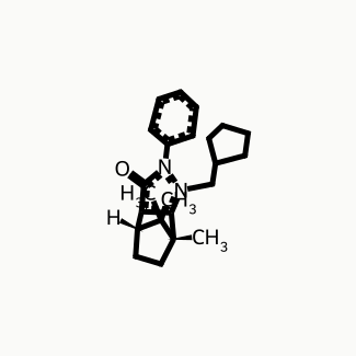 CC1(C)[C@@H]2CC[C@@]1(C)c1c2c(=O)n(-c2ccccc2)n1CC1CCCC1